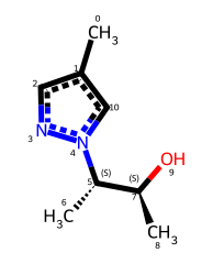 Cc1cnn([C@@H](C)[C@H](C)O)c1